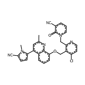 Cc1cc(-c2ccc(C#N)n2C)c2cccc(OCc3c(Cl)ccnc3Cn3cccc(C#N)c3=O)c2n1